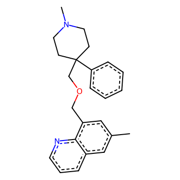 Cc1cc(COCC2(c3ccccc3)CCN(C)CC2)c2ncccc2c1